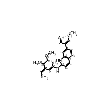 CN/C=C(\C=N)c1cnc2c(c1)NC(N/C(N)=C/C(=C\N)C(C)COC)C=C2